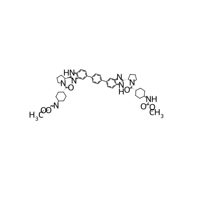 COO/C=N/[C@H]1CC[C@H](C(=O)N2CCC[C@H]2c2nc3cc(-c4ccc(-c5ccc6[nH]c([C@@H]7CCCN7C(=O)[C@H]7CC[C@H](NC(=O)OC)CC7)nc6c5)cc4)ccc3[nH]2)CC1